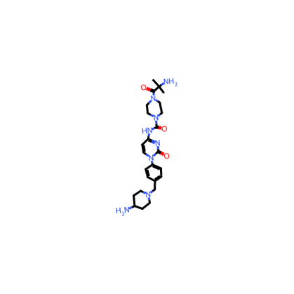 CC(C)(N)C(=O)N1CCN(C(=O)Nc2ccn(-c3ccc(CN4CCC(N)CC4)cc3)c(=O)n2)CC1